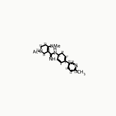 CNC1=C(C(=N)NC2C=CC(c3ccc(C)nc3)=CC2)CN(C(C)=O)CC1